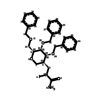 NC(=O)N(I)C[C@@H]1CO[C@H](COCc2ccccc2)[C@H](OCc2ccccc2)[C@@H]1OCc1ccccc1